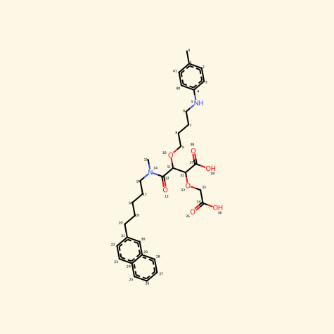 Cc1ccc(NCCCCOC(C(=O)N(C)CCCCCc2ccc3ccccc3c2)C(OCC(=O)O)C(=O)O)cc1